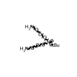 CC(C)(C)OC(=O)N(CCOCCOCCOCCN)CCOCCOCCOCCN